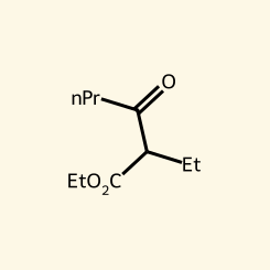 CCCC(=O)C(CC)C(=O)OCC